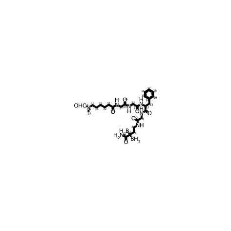 BC(B)(CCNC(=O)CNC(=O)C(Cc1ccccc1)NC(=O)CNC(=O)CNC(=O)CCCCCN(C)C=O)C(N)=O